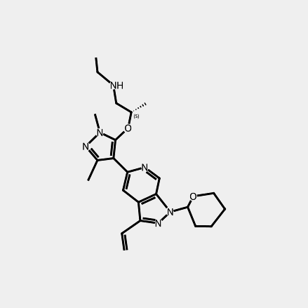 C=Cc1nn(C2CCCCO2)c2cnc(-c3c(C)nn(C)c3O[C@@H](C)CNCC)cc12